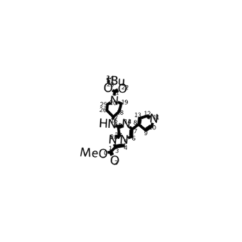 COC(=O)c1cn2cc(-c3ccncc3)nc(NC3CCN(C(=O)OC(C)(C)C)CC3)c2n1